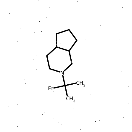 CCC(C)(C)N1CCC2CCCC2C1